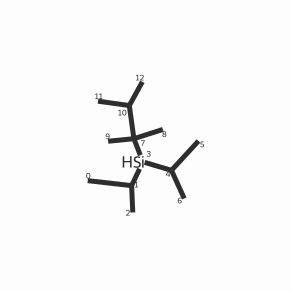 CC(C)[SiH](C(C)C)C(C)(C)C(C)C